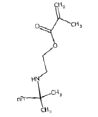 C=C(C)C(=O)OCCNC(C)(C)CCC